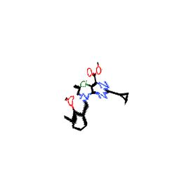 C=CCN(Cc1cccc(C)c1OC)c1nc(C2CC2)nc(C(=O)OC)c1Cl